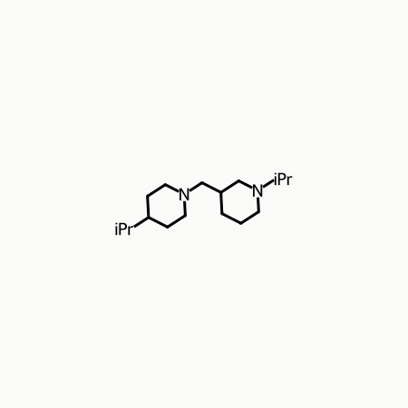 CC(C)C1CCN(CC2CCCN(C(C)C)C2)CC1